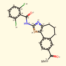 COC(=O)c1ccc2c(c1)CCCc1nc(NC(=O)c3c(F)cccc3F)sc1-2